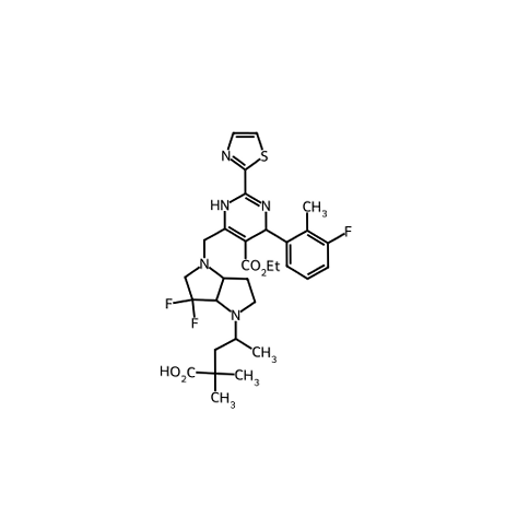 CCOC(=O)C1=C(CN2CC(F)(F)C3C2CCN3C(C)CC(C)(C)C(=O)O)NC(c2nccs2)=NC1c1cccc(F)c1C